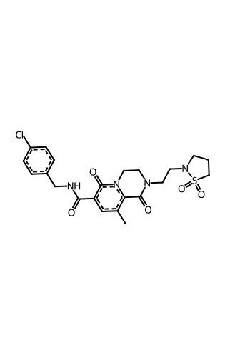 Cc1cc(C(=O)NCc2ccc(Cl)cc2)c(=O)n2c1C(=O)N(CCN1CCCS1(=O)=O)CC2